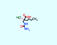 BC(CCCC)(CNC(N)=O)C(=O)O.Cl